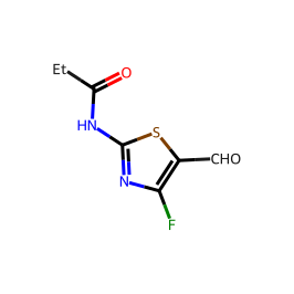 CCC(=O)Nc1nc(F)c(C=O)s1